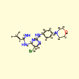 CC(C)=CC(=N)Nc1nc(Nc2ccc(N3CCOCC3)cc2)ncc1Br